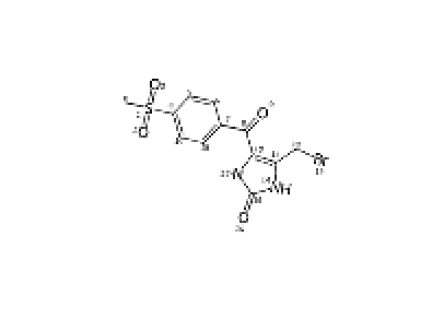 CS(=O)(=O)c1ccc(C(=O)C2=C(CBr)NC(=O)[N]2)cc1